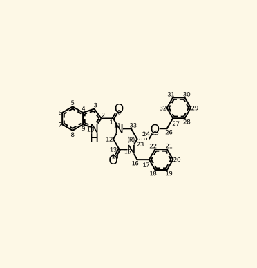 O=C(c1cc2ccccc2[nH]1)N1CC(=O)N(Cc2ccccc2)[C@@H](COCc2ccccc2)C1